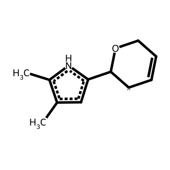 Cc1cc(C2[C]C=CCO2)[nH]c1C